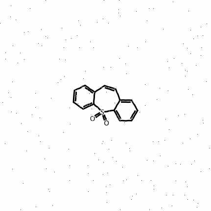 O=S1(=O)c2ccccc2C=Cc2ccccc21